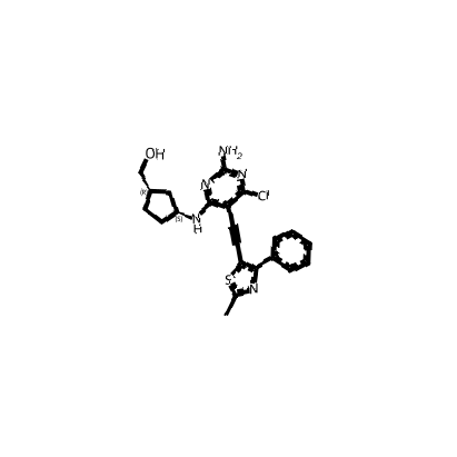 Cc1nc(-c2ccccc2)c(C#Cc2c(Cl)nc(N)nc2N[C@H]2CC[C@@H](CO)C2)s1